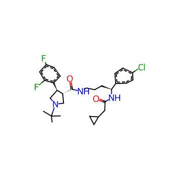 CC(C)(C)N1C[C@@H](C(=O)NCCC[C@H](NC(=O)CC2CC2)c2ccc(Cl)cc2)[C@H](c2ccc(F)cc2F)C1